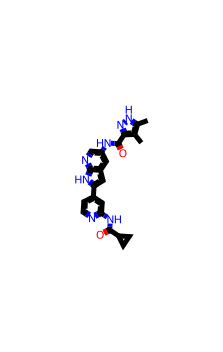 Cc1[nH]nc(C(=O)Nc2cnc3[nH]c(-c4ccnc(NC(=O)C5CC5)c4)cc3c2)c1C